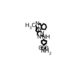 CC1N=CC2(CCCCC2)n2c1cc1cnc(Nc3ccc(S(N)(=O)=O)cc3)nc12